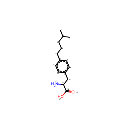 CC(C)CCCc1ccc(CC(N)C(=O)O)cc1